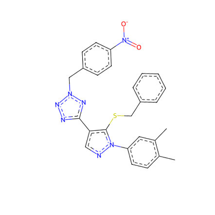 Cc1ccc(-n2ncc(-c3nnn(Cc4ccc([N+](=O)[O-])cc4)n3)c2SCc2ccccc2)cc1C